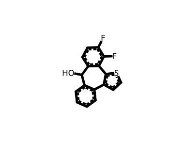 OC1c2ccccc2-c2ccsc2-c2c1ccc(F)c2F